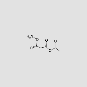 CC(=O)OC(=O)CC(=O)ON